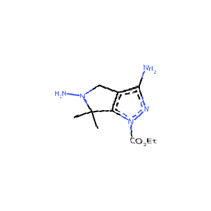 CCOC(=O)n1nc(N)c2c1C(C)(C)N(N)C2